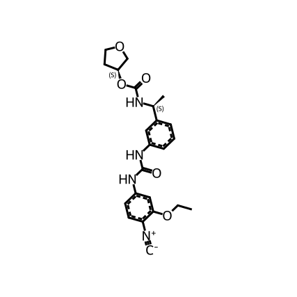 [C-]#[N+]c1ccc(NC(=O)Nc2cccc([C@H](C)NC(=O)O[C@H]3CCOC3)c2)cc1OCC